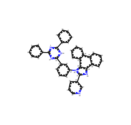 c1ccc(-c2nc(-c3ccccc3)nc(-c3cccc(-n4c(-c5cccnc5)nc5c6ccccc6c6ccccc6c54)c3)n2)cc1